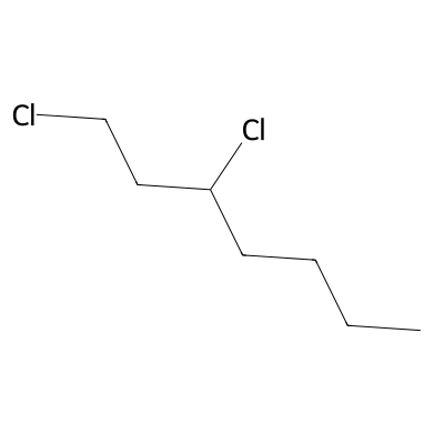 CCCCC(Cl)CCCl